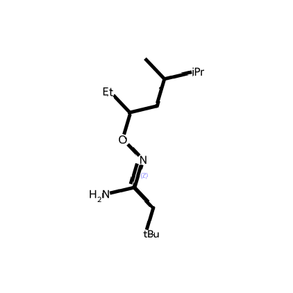 CCC(CC(C)C(C)C)O/N=C(\N)CC(C)(C)C